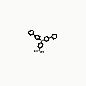 OB(O)c1ccc(N(c2ccc(C3=CCCC=C3)cc2)c2ccc(-c3ccccc3)cc2)cc1